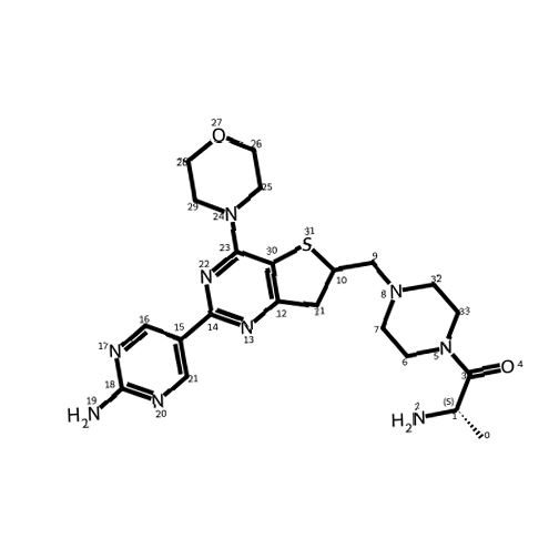 C[C@H](N)C(=O)N1CCN(CC2Cc3nc(-c4cnc(N)nc4)nc(N4CCOCC4)c3S2)CC1